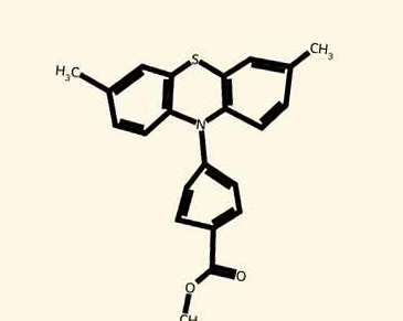 COC(=O)c1ccc(N2c3ccc(C)cc3Sc3cc(C)ccc32)cc1